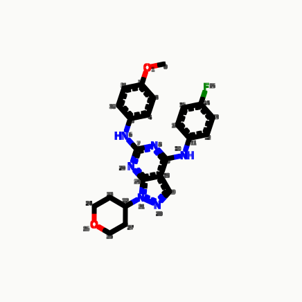 COc1ccc(Nc2nc(Nc3ccc(F)cc3)c3cnn(C4CCOCC4)c3n2)cc1